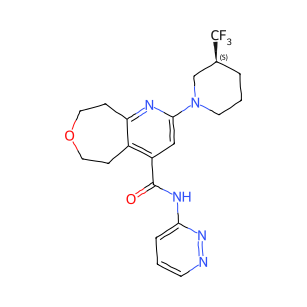 O=C(Nc1cccnn1)c1cc(N2CCC[C@H](C(F)(F)F)C2)nc2c1CCOCC2